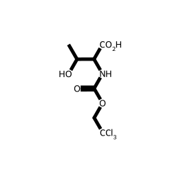 CC(O)C(NC(=O)OCC(Cl)(Cl)Cl)C(=O)O